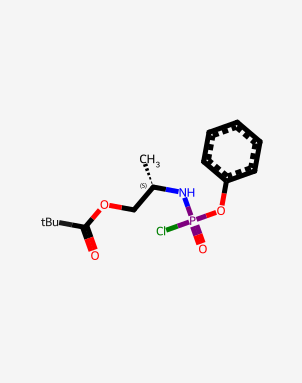 C[C@@H](COC(=O)C(C)(C)C)NP(=O)(Cl)Oc1ccccc1